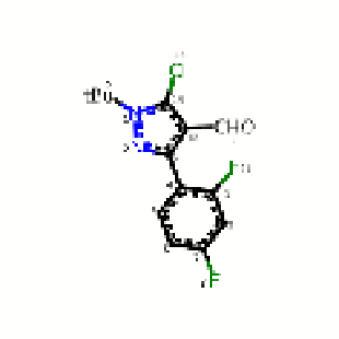 CC(C)(C)n1nc(-c2ccc(F)cc2F)c(C=O)c1Cl